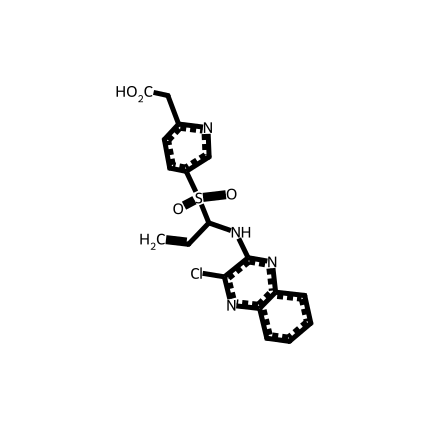 C=CC(Nc1nc2ccccc2nc1Cl)S(=O)(=O)c1ccc(CC(=O)O)nc1